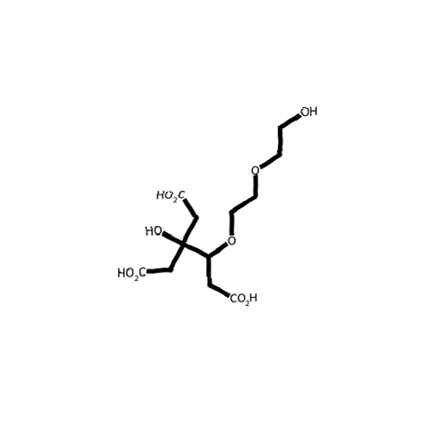 O=C(O)CC(OCCOCCO)C(O)(CC(=O)O)CC(=O)O